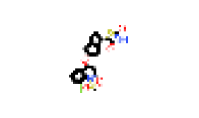 CS(=O)(=O)N1CCC(Oc2ccc3c(c2)CC[C@H]3C2SC(=O)NC2=O)c2cccc(F)c21